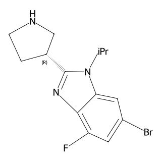 CC(C)n1c([C@@H]2CCNC2)nc2c(F)cc(Br)cc21